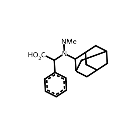 CNN(C(C(=O)O)c1ccccc1)C1C2CC3CC(C2)CC1C3